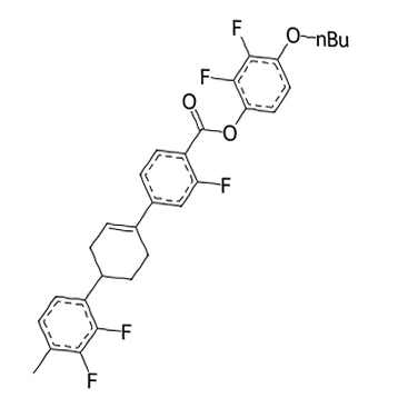 CCCCOc1ccc(OC(=O)c2ccc(C3=CCC(c4ccc(C)c(F)c4F)CC3)cc2F)c(F)c1F